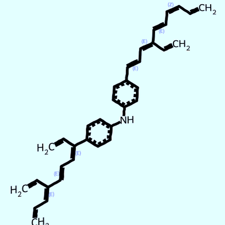 C=C\C=C/C=C/C(C=C)=C/C=C/c1ccc(Nc2ccc(/C(C=C)=C/C=C/C(C=C)=C/C=C)cc2)cc1